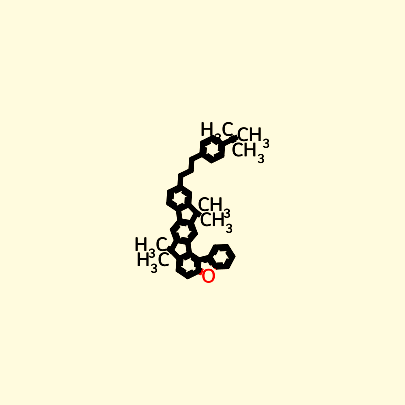 CC(C)(C)c1ccc(CCCc2ccc3c(c2)C(C)(C)c2cc4c(cc2-3)C(C)(C)c2ccc3oc5ccccc5c3c2-4)cc1